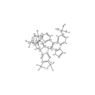 CC(C)(C)c1cc2c(cc1C(C)(C)C)[CH]([Zr]([C]1=CC=CC1)=[C](c1cccc(C(F)(F)F)c1)c1cccc(C(F)(F)F)c1)c1cc(C(C)(C)C)c(C(C)(C)C)cc1-2